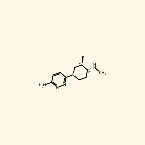 CN[C@@H]1CCN(c2ccc(N)nn2)C[C@H]1F